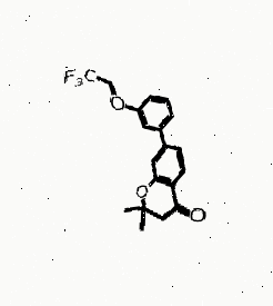 CC1(C)CC(=O)c2ccc(-c3cccc(OCC(F)(F)F)c3)cc2O1